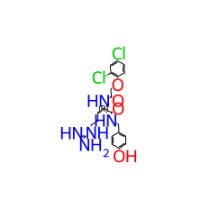 N=C(N)NCCC[C@@H](NC(=O)COc1ccc(Cl)cc1Cl)C(=O)NCc1ccc(O)cc1